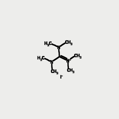 CN(C)C(N(C)C)=[N+](C)C.[I-]